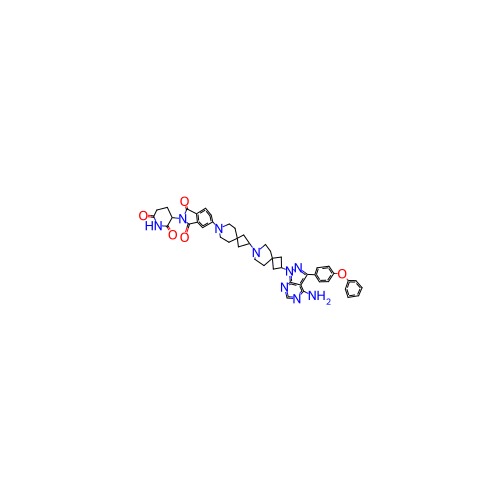 Nc1ncnc2c1c(-c1ccc(Oc3ccccc3)cc1)nn2C1CC2(CCN(C3CC4(CCN(c5ccc6c(c5)C(=O)N(C5CCC(=O)NC5=O)C6=O)CC4)C3)CC2)C1